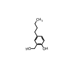 CCCCc1ccc(O)c(CO)c1